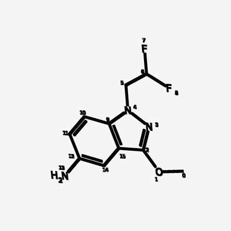 COc1nn(CC(F)F)c2ccc(N)cc12